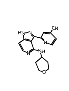 N#Cc1ccnc(-c2n[nH]c3ccnc(NC4CCOCC4)c23)c1